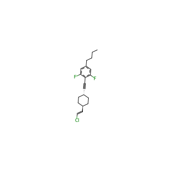 CCCCc1cc(F)c(C#C[C@H]2CC[C@H](C=CCl)CC2)c(F)c1